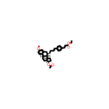 CCOC(=O)/C=C/c1ccc(/C=C/CC[C@@H]2Cc3cc(OC)ccc3[C@H]3CC[C@]4(C)[C@@H](OC(C)=O)CC[C@H]4[C@H]23)cc1